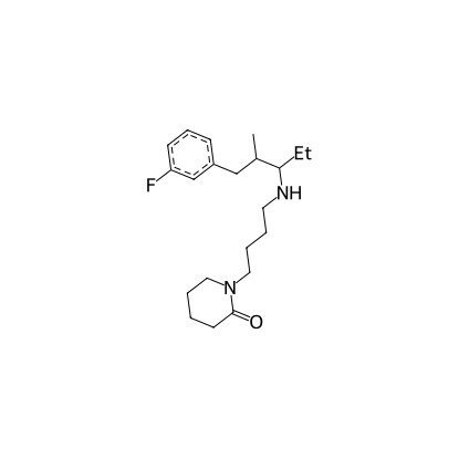 CCC(NCCCCN1CCCCC1=O)C(C)Cc1cccc(F)c1